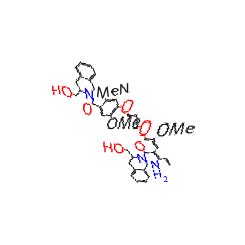 C=C/C(N)=C(\C=C(/COCCCOc1cc(NC)c(C(=O)N2Cc3ccccc3CC2CO)cc1OC)OC)C(=O)N1Cc2ccccc2CC1CO